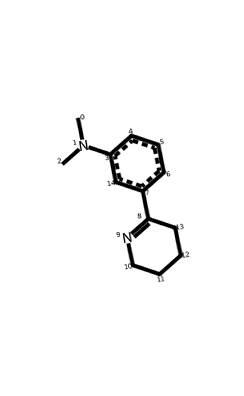 CN(C)c1cccc(C2=NCCCC2)c1